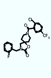 O=C1OC2(CCN(C(=O)c3cc(C(F)(F)F)ccc3Cl)CC2)CN1Cc1ccccc1F